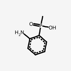 CP(=O)(O)c1ccccc1N